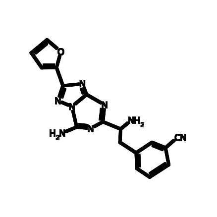 N#Cc1cccc(CC(N)c2nc(N)n3nc(-c4ccco4)nc3n2)c1